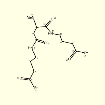 CNC(CC(=O)NCCCC(=O)C(C)C)C(=O)NCCCC(=O)C(C)C